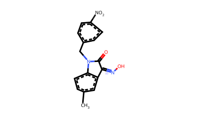 Cc1ccc2c(c1)/C(=N/O)C(=O)N2Cc1ccc([N+](=O)[O-])cc1